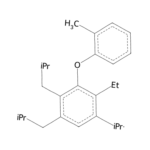 CCc1c([C](C)C)cc(CC(C)C)c(CC(C)C)c1Oc1ccccc1C